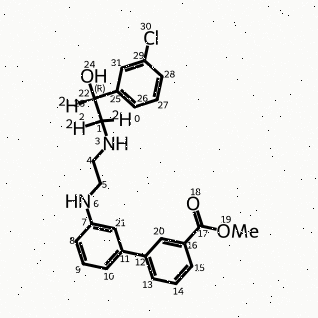 [2H]C([2H])(NCCNc1cccc(-c2cccc(C(=O)OC)c2)c1)[C@]([2H])(O)c1cccc(Cl)c1